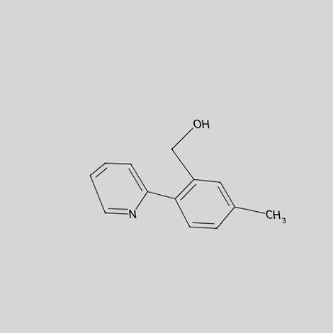 Cc1ccc(-c2ccccn2)c(CO)c1